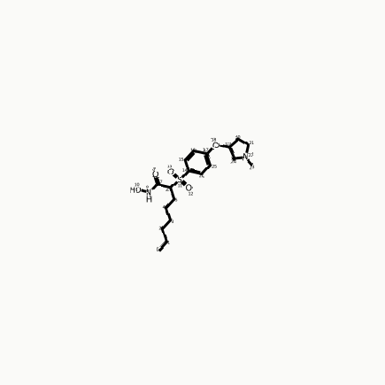 CCCCCCC(C(=O)NO)S(=O)(=O)c1ccc(OC2CCN(C)C2)cc1